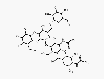 CC(=O)NC1[C@H](O[C@@H]2C(CO)O[C@@H](C)C(NC(C)=O)[C@H]2O)OC(CO)[C@@H](O[C@@H]2OC(CO[C@H]3OC(CO)[C@@H](O)[C@H](O)C3O)[C@@H](O)[C@H](OC3O[C@H](CO)[C@@H](O)C(O)C3O)C2O)[C@@H]1O